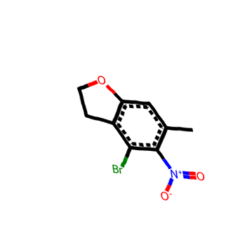 Cc1cc2c(c(Br)c1[N+](=O)[O-])CCO2